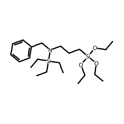 CCO[Si](CCCN(Cc1ccccc1)[Si](CC)(CC)CC)(OCC)OCC